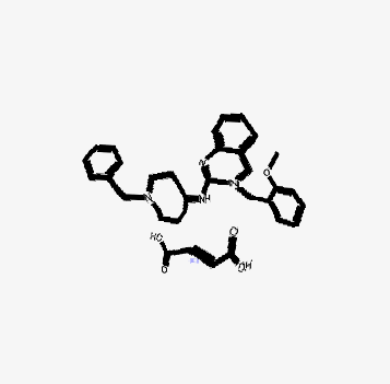 COc1ccccc1CN1Cc2ccccc2N=C1NC1CCN(Cc2ccccc2)CC1.O=C(O)/C=C/C(=O)O